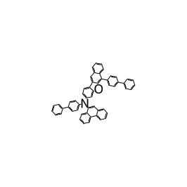 c1ccc(-c2ccc(-c3c4ccccc4cc4c3oc3cc(N(c5ccc(-c6ccccc6)cc5)c5cc6ccccc6c6ccccc56)ccc34)cc2)cc1